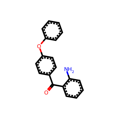 Nc1ccccc1C(=O)c1ccc(Oc2ccccc2)cc1